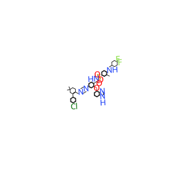 Cc1cc(S(=O)(=O)NC(=O)c2ccc(N3CCN(CC4=C(c5ccc(Cl)cc5)CC(C)(C)CC4)CC3)cc2Oc2cccc3[nH]cnc23)ccc1NCC1CCC(F)(F)CC1